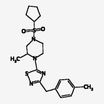 Cc1ccc(Cc2nsc(N3CCN(S(=O)(=O)C4CCCC4)CC3C)n2)cc1